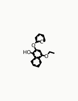 CCOc1cc(Oc2ccccc2)c(O)c2ccccc12